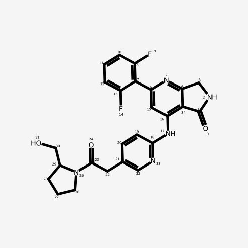 O=C1NCc2nc(-c3c(F)cccc3F)cc(Nc3ccc(CC(=O)N4CCCC4CO)cn3)c21